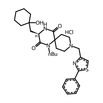 CCCCN1C(=O)[C@@H](CC2(O)CCCCC2)NC(=O)C12CCN(Cc1csc(-c3ccccc3)n1)CC2.Cl